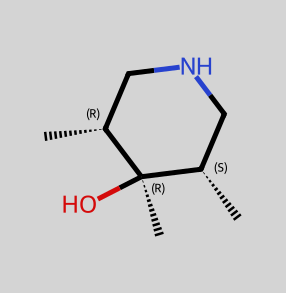 C[C@@H]1CNC[C@H](C)[C@@]1(C)O